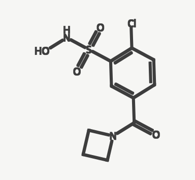 O=C(c1ccc(Cl)c(S(=O)(=O)NO)c1)N1CCC1